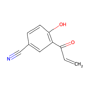 C=CC(=O)c1cc(C#N)ccc1O